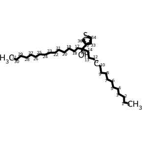 CCCCCCCCCCCCCCCC(O)(CCCCCCCCCCCCCCC)c1ccsc1